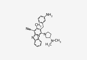 Cc1c(Cc2cccc(N)c2)c(N2CC[C@H](N(C)C)C2)n2c(nc3ccccc32)c1C#N